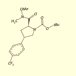 CON(C)C(=O)[C@@H]1CC(c2ccc(C(F)(F)F)cc2)CN1C(=O)OC(C)(C)C